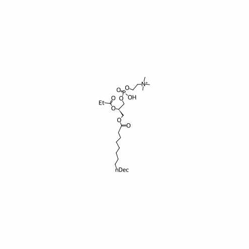 CCCCCCCCCCCCCCCCCC(=O)OC[C@H](COP(=O)(O)OCC[N+](C)(C)C)OC(=O)CC